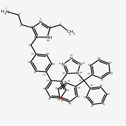 CCc1nc(CCN)c(Cc2ccc(-c3ccccc3-c3nnnn3C(c3ccccc3)(c3ccccc3)c3ccccc3)cc2)[nH]1